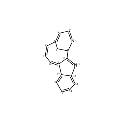 C1=NC2CC(=C1)/C=C\C=C1/C2=Nc2ccccc21